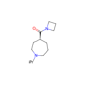 CC(C)N1CCC[C@H](C(=O)N2CCC2)CC1